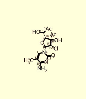 CC(=O)C(O)[C@H]1O[C@@H](n2cc(C)c(N)nc2=O)[C@H](Cl)[C@@]1(O)C(C)=O